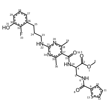 COC(=O)C(CNC(=O)c1cccs1)NC(=O)c1c(C)nc(NCCCc2cccc(O)c2F)nc1C